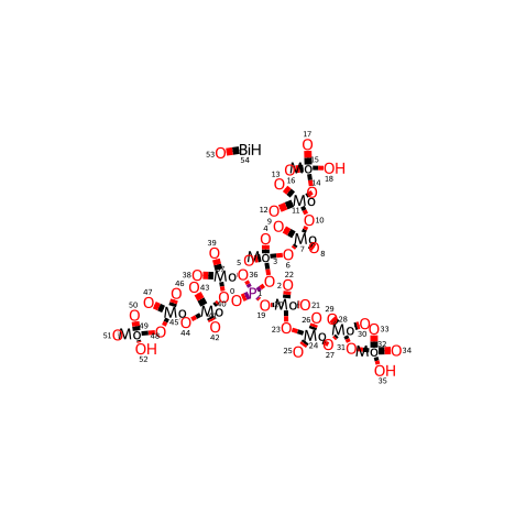 O=P([O][Mo](=[O])(=[O])[O][Mo](=[O])(=[O])[O][Mo](=[O])(=[O])[O][Mo](=[O])(=[O])[OH])([O][Mo](=[O])(=[O])[O][Mo](=[O])(=[O])[O][Mo](=[O])(=[O])[O][Mo](=[O])(=[O])[OH])[O][Mo](=[O])(=[O])[O][Mo](=[O])(=[O])[O][Mo](=[O])(=[O])[O][Mo](=[O])(=[O])[OH].[O]=[BiH]